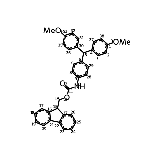 COc1ccc(C(c2ccc(NC(=O)OCC3c4ccccc4-c4ccccc43)cc2)c2ccc(OC)cc2)cc1